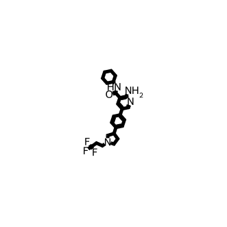 Nc1ncc(-c2ccc(C3CCN(CCC(F)(F)F)C3)cc2)cc1C(=O)NC1CCCCC1